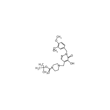 COc1ccc(Cn2ncc(CN3CCN(C(=O)OC(C)(C)C)CC3)c(O)c2=O)cc1OC